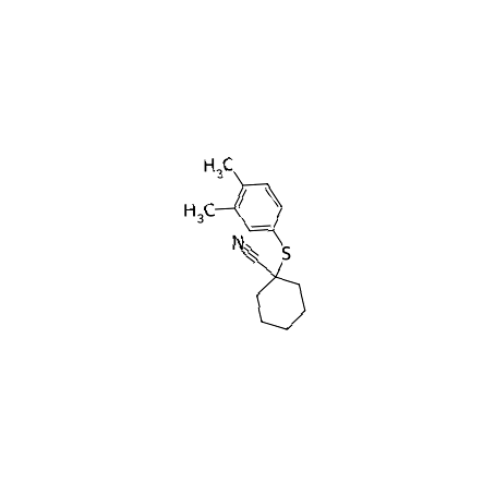 Cc1ccc(SC2(C#N)CCCCC2)cc1C